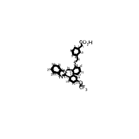 O=C(O)Cc1cccc(CSc2ccccc2Cn2c(-c3ccc(OC(F)(F)F)cc3)nc3ccccc32)c1